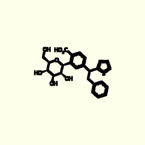 O=C(O)c1ccc(C(Cc2ccccc2)c2cccs2)cc1[C@@H]1O[C@H](CO)[C@@H](O)[C@H](O)[C@H]1O